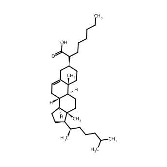 CCCCCCC(C(=O)O)[C@H]1CC[C@@]2(C)C(=CC[C@H]3[C@@H]4CC[C@H]([C@H](C)CCCC(C)C)[C@@]4(C)CC[C@@H]32)C1